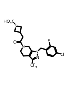 O=C(O)N1CC(CC(=O)N2CCc3c(C(F)(F)F)nn(Cc4ccc(Cl)cc4F)c3C2)C1